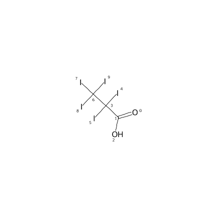 O=C(O)C(I)(I)C(I)(I)I